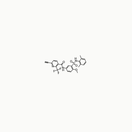 C#Cc1ccc(C(=O)Nc2ccc(OC)c(S(=O)(=O)Nc3c(C)cccc3C)c2)c(C(F)(F)F)n1